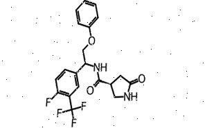 O=C1C[C@H](C(=O)NC(COc2ccccc2)c2ccc(F)c(C(F)(F)F)c2)CN1